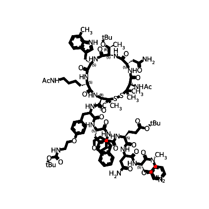 CC(=O)NCCCC[C@@H]1NC(=O)[C@H](Cc2c[nH]c3c(C)cccc23)NC(=O)[C@H]([C@@H](C)OC(C)(C)C)NC(=O)[C@H](CC(N)=O)NC(=O)[C@@H](NC(C)=O)C(C)(C)SSC(C)(C)[C@@H](C(=O)NC(Cc2ccc(OCCNC(=O)OC(C)(C)C)cc2)C(=O)N[C@@H](Cc2ccc3ccccc3c2)C(=O)NC2(C(=O)N[C@@H](CCC(=O)OC(C)(C)C)C(=O)NC(CC(N)=O)C(=O)N[C@@H](Cc3cccnc3)C(=O)N(C)CC(N)=O)CCOCC2)NC1=O